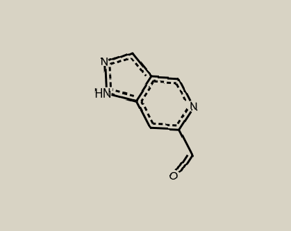 O=Cc1cc2[nH]ncc2cn1